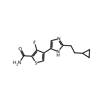 NC(=O)c1scc(-c2cnc(CCC3CC3)[nH]2)c1F